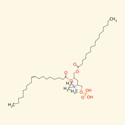 CCCCCCCC/C=C\CCCCCCCC(=O)OC(COC(=O)CCCCCCCCCCCCCCC)CC(COP(=O)(O)O)[N+](C)(C)C